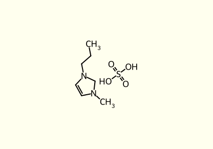 CCCN1C=CN(C)C1.O=S(=O)(O)O